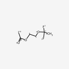 CC(F)(F)OCCOC(=O)I